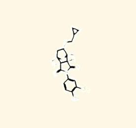 C[C@@]12O[C@@](C)(C[C@H]1OCC1CC1)[C@@H]1C(=O)N(c3ccc(C#N)c(C(F)(F)F)c3)C(=O)[C@H]12